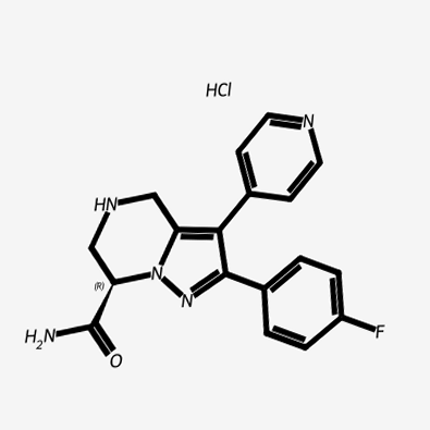 Cl.NC(=O)[C@H]1CNCc2c(-c3ccncc3)c(-c3ccc(F)cc3)nn21